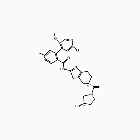 COc1cnc(Cl)cc1-c1cc(C)ncc1C(=O)Nc1nc2c(s1)C[C@@H](C(=O)N1CC[C@@H](O)C1)CC2